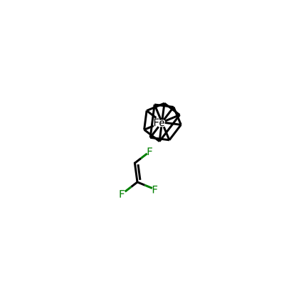 FC=C(F)F.[CH]12[CH]3[CH]4[CH]5[CH]1[Fe]23451678[CH]2[CH]1[CH]6[CH]7[CH]28